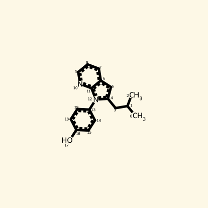 CC(C)Cc1cc2cccnc2n1-c1ccc(O)cc1